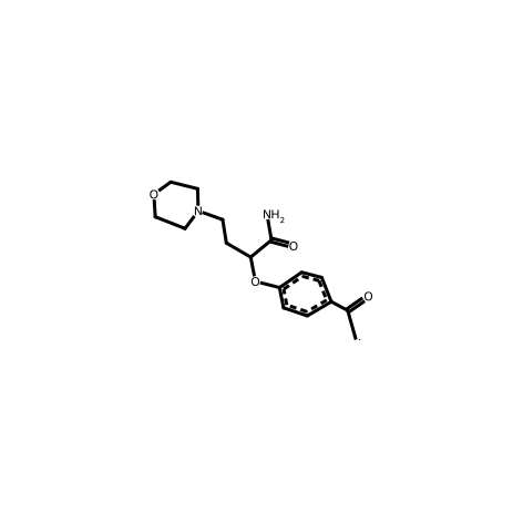 [CH2]C(=O)c1ccc(OC(CCN2CCOCC2)C(N)=O)cc1